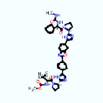 CNC(=O)N[C@@H](C(=O)N1CCC[C@H]1c1ncc(-c2ccc3nc(-c4ccc(-c5cnc([C@@H]6CCCN6C(=O)[C@@H](NC(=O)OC)C(C)C)[nH]5)cc4)oc3c2)[nH]1)c1ccccc1